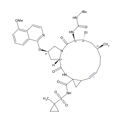 CC[C@@H]1C[C@@H](C)CC/C=C\C2CC2(C(=O)NS(=O)(=O)C2(C)CC2)NC(=O)[C@@H]2C[C@@H](Oc3nccc4c(OC)cccc34)CN2C(=O)[C@H]1NC(=O)NC(C)(C)C